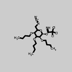 CCCCOC1[C@@H](OCCCC)C(CN=[N+]=[N-])O[C@@H](OC(=N)C(Cl)(Cl)Cl)[C@H]1OCCCC